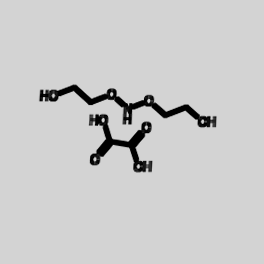 O=C(O)C(=O)O.OCCONOCCO